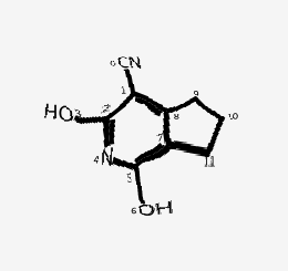 N#Cc1c(O)nc(O)c2c1CCC2